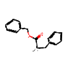 C[C@@H](Cc1ccccc1)C(=O)OCc1ccccc1